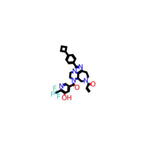 C=CC(=O)N1CCc2nc(-c3ccc(C4CCC4)cc3)n3c2C(C1)N(C(=O)c1cnc(C(F)(F)F)c(O)c1)CC3